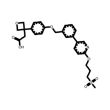 CS(=O)(=O)CCCOc1ccc(-c2cccc(COc3ccc(C4(CC(=O)O)COC4)cc3)c2)cn1